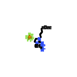 CCCCCCCCCCCCCCN1CC[N+](C)=C1N=[N+]=[N-].F[P-](F)(F)(F)(F)F